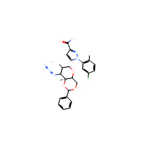 COC1C(N=[N+]=[N-])[C@H]2OC(c3ccccc3)OCC2O[C@H]1c1cc(C(N)=O)nn1-c1cc(Cl)ccc1C(F)(F)F